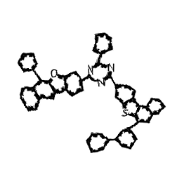 c1ccc(-c2cccc(-c3cc4ccccc4c4c3sc3cc(-c5nc(-c6ccccc6)nc(-c6ccc7c(c6)oc6c(-c8ccccc8)c8ccccc8cc67)n5)ccc34)c2)cc1